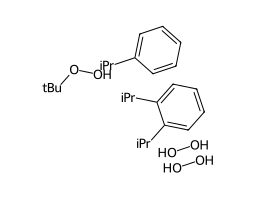 CC(C)(C)OO.CC(C)c1ccccc1.CC(C)c1ccccc1C(C)C.OO.OO